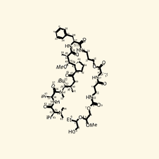 CCC(CO)OC(COC(=O)NCCC(=O)N[C@@H](C)C(=O)OCCCNC(=O)[C@H](Cc1ccccc1)NC(=O)[C@H](C)[C@@H](OC)[C@@H]1CCCC1C(=O)C[C@@H](C)[C@H]([C@@H](C)CC)N(C)C(=O)[C@@H](NC(=O)[C@H](C(C)C)N(C)C)C(C)C)OC